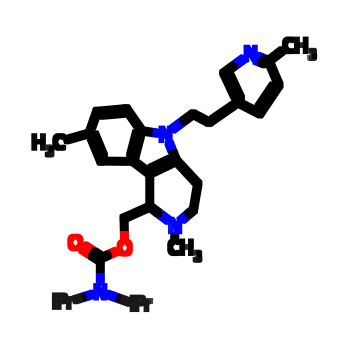 Cc1ccc2c(c1)c1c(n2CCc2ccc(C)nc2)CCN(C)C1COC(=O)N(C(C)C)C(C)C